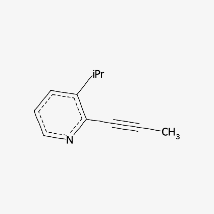 CC#Cc1ncccc1C(C)C